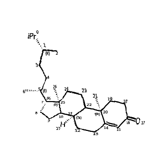 CC(C)[C@H](C)CC[C@@H](C)[C@H]1CCC2[C@@H]3CCC4=CC(=O)CC[C@]4(C)C3CC[C@@]21C